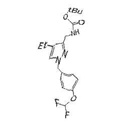 CCc1cn(-c2ccc(OC(F)F)cc2)nc1CNC(=O)OC(C)(C)C